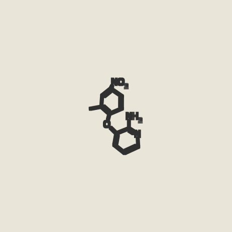 Cc1cc([N+](=O)[O-])ccc1Oc1cccnc1N